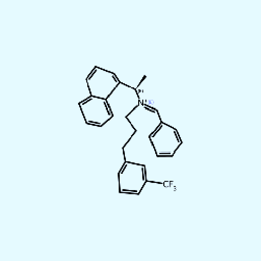 C[C@H](c1cccc2ccccc12)/[N+](=C/c1ccccc1)CCCc1cccc(C(F)(F)F)c1